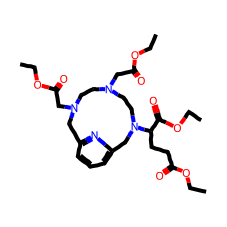 CCOC(=O)CCC(C(=O)OCC)N1CCN(CC(=O)OCC)CCN(CC(=O)OCC)Cc2cccc(n2)C1